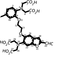 Cc1ccc(N(CC(=O)O)CC(=O)O)c(OCCOc2cc3cc(C=O)oc3cc2N(CC(=O)O)CC(=O)O)c1